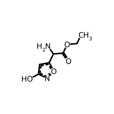 CCOC(=O)C(N)c1cc(O)no1